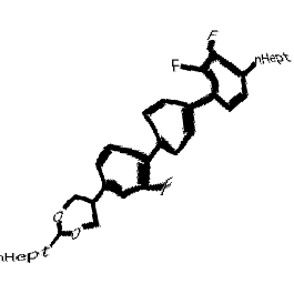 CCCCCCCc1ccc(-c2ccc(-c3ccc(C4COC(CCCCCCC)OC4)cc3F)cc2)c(F)c1F